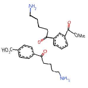 COC(=O)c1cccc(C(=O)CCCCN)c1.NCCCCC(=O)c1ccc(C(=O)O)cc1